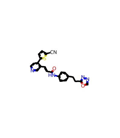 N#Cc1ccc(-c2ccncc2C=CC(=O)Nc2ccc(CCc3nnco3)cc2)s1